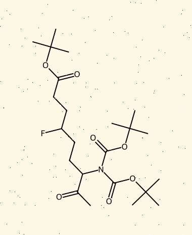 CC(=O)C(CCC(F)CCC(=O)OC(C)(C)C)N(C(=O)OC(C)(C)C)C(=O)OC(C)(C)C